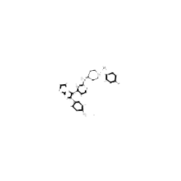 CC(=O)Nc1ccc(-c2nc3sccn3c2-c2ccnc(NC3CCN([S+]([O-])c4ccc(Cl)cc4)CC3)n2)cc1